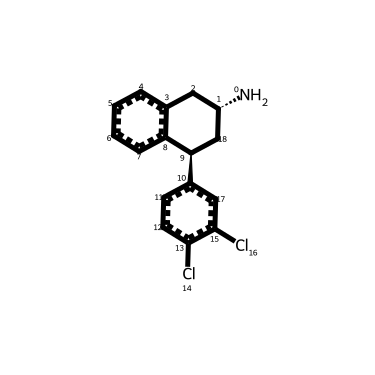 N[C@H]1Cc2ccccc2[C@H](c2ccc(Cl)c(Cl)c2)C1